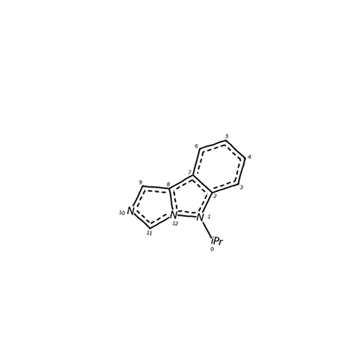 CC(C)n1c2ccccc2c2cncn21